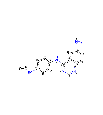 Nc1ccc2ncnc(Nc3ccc(NC=O)cc3)c2c1